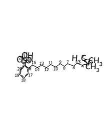 C[Si](C)(C)CCCCCCCCCCCCc1ccccc1S(=O)(=O)O